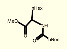 CCCCCCCCCC(=O)NC(CCCCCC)C(=O)OC